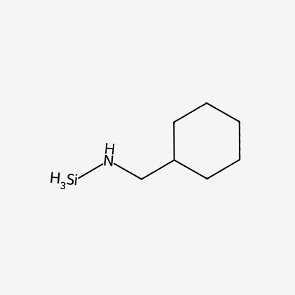 [SiH3]NCC1CCCCC1